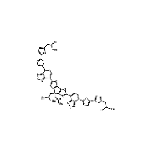 CCCCC(CC)Cc1ccc(-c2ccc(-c3ccc(-c4cc5c(s4)-c4sc(-c6ncc(-c7ccc(-c8ccc(CC(CC)CCCC)s8)s7)c7nsnc67)cc4[Si]5(CC(CC)CCCC)CC(CC)CCCC)c4nsnc34)s2)s1